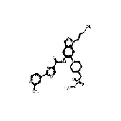 COCCn1ncc2cc(NC(=O)c3coc(-c4ccnc(C)c4)n3)c(N3CCC(CS(=O)(=O)OC)CC3)cc21